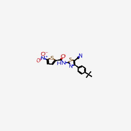 CC(C)(C)c1ccc(-c2nc(NC(=O)c3ccc([N+](=O)[O-])s3)sc2C#N)cc1